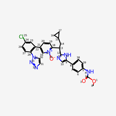 COC(=O)Nc1ccc(-c2cnc(C(CC3CC3)c3ccc(-c4cc(Cl)ccc4-n4ccnn4)c[n+]3[O-])[nH]2)cc1